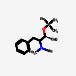 CC(C)(C)N(C(=O)O)C(Cc1ccccc1)[C@@H](C=O)O[Si](C)(C)C(C)(C)C